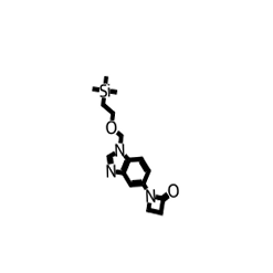 C[Si](C)(C)CCOCn1cnc2cc(N3CCC3=O)ccc21